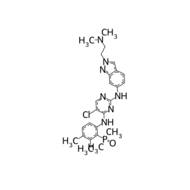 Cc1ccc(Nc2nc(Nc3ccc4cn(CCN(C)C)nc4c3)ncc2Cl)c(P(C)(C)=O)c1C